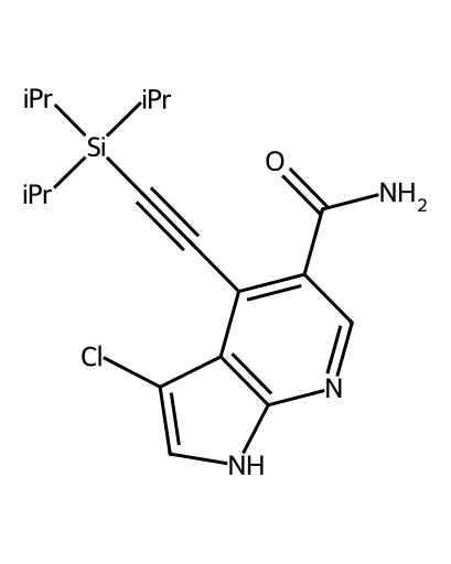 CC(C)[Si](C#Cc1c(C(N)=O)cnc2[nH]cc(Cl)c12)(C(C)C)C(C)C